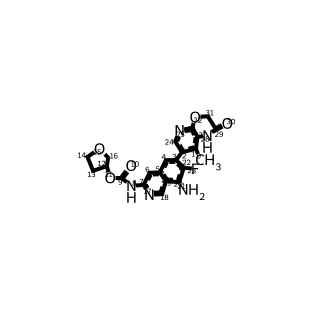 Cc1c(-c2cc3cc(NC(=O)OC4CCOC4)ncc3c(N)c2F)cnc2c1NC(=O)CO2